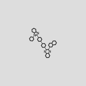 c1ccc(-n2c(-c3ccc(-c4ccc(-c5nc6ccccc6nc5-c5ccc6ccccc6c5)cc4)cc3)nc3ccccc32)cc1